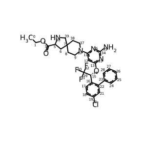 CCOC(=O)C1CC2(CCN(c3cc(O[C@H](c4ccc(Cl)cc4-c4ccccc4)C(F)(F)F)nc(N)n3)CC2)CN1